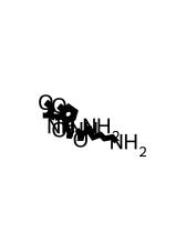 Cc1c(N)c2c(C(=O)C(C)NC(=O)C(N)CCCCN)cccc2oc1=O